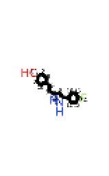 Oc1ccc(/C=C/c2cc(-c3ccc(F)cc3)[nH]n2)cc1